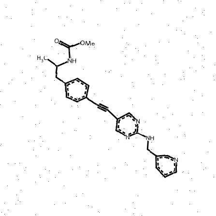 COC(=O)NC(C)Cc1ccc(C#Cc2cnc(NCc3cccnc3)nc2)cc1